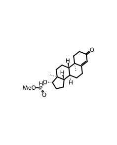 CO[PH](=O)O[C@H]1CC[C@H]2[C@@H]3CCC4=CC(=O)CC[C@]4(C)[C@H]3CC[C@]12C